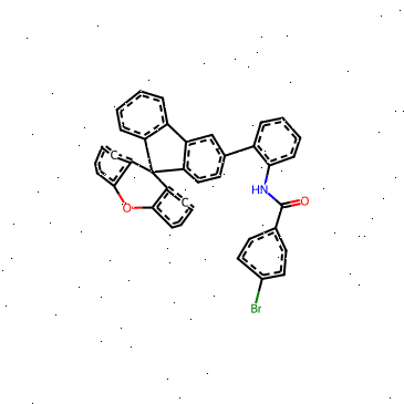 O=C(Nc1ccccc1-c1ccc2c(c1)-c1ccccc1C21c2ccccc2Oc2ccccc21)c1ccc(Br)cc1